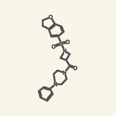 O=C(C1CN(S(=O)(=O)c2ccc3c(c2)CCO3)C1)N1CCN(c2ccccc2)CC1